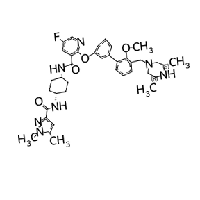 COc1c(CN2C[C@@H](C)N[C@@H](C)C2)cccc1-c1cccc(Oc2ncc(F)cc2C(=O)N[C@H]2CC[C@@H](NC(=O)c3cc(C)n(C)n3)CC2)c1